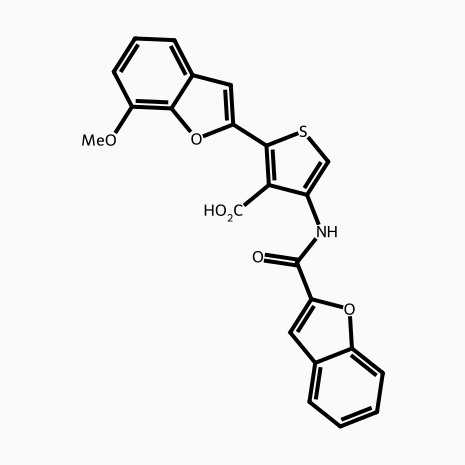 COc1cccc2cc(-c3scc(NC(=O)c4cc5ccccc5o4)c3C(=O)O)oc12